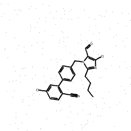 CCCCc1nc(Cl)c(C=O)n1Cc1ccc(-c2cc(Cl)ccc2C#N)cc1